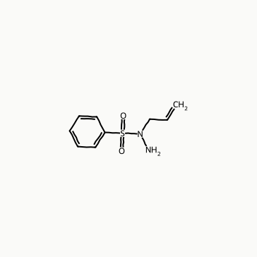 C=CCN(N)S(=O)(=O)c1ccccc1